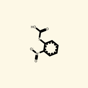 O=C(O)Sc1ccccc1[N+](=O)[O-]